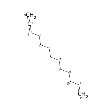 C=C=CCCCCCCCCC=C